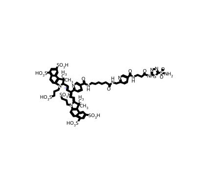 CC1(C)C(=CC=C(/C=C/C2N(CCCS(=O)(=O)O)c3ccc4c(S(=O)(=O)O)cc(S(=O)(=O)O)cc4c3C2(C)C)c2ccc(C(=O)NCCCCCC(=O)NCc3ccc(C(=O)NCCC(=O)Nc4nnc(S(N)(=O)=O)s4)cn3)cn2)N(CCCS(=O)(=O)O)c2ccc3c(S(=O)(=O)O)cc(S(=O)(=O)O)cc3c21